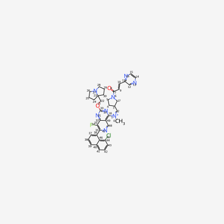 C/[N+](=C/C1CCN(C(=O)/C=C/c2cnccn2)C1)c1nc(OCC23CCCN2CCC3)nc2c(F)c(-c3cccc4cccc(Cl)c34)ncc12